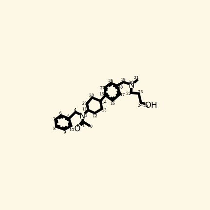 CC(=O)N(Cc1ccccc1)C1CCC(c2ccc(CN(C)CCCO)cc2)CC1